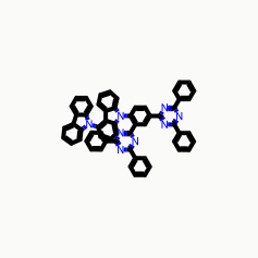 c1ccc(-c2nc(-c3ccccc3)nc(-c3ccc(-n4c5ccccc5c5c(-n6c7ccccc7c7ccccc76)cccc54)c(-c4nc(-c5ccccc5)nc(-c5ccccc5)n4)c3)n2)cc1